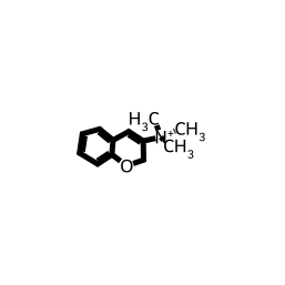 C[N+](C)(C)C1=Cc2ccccc2OC1